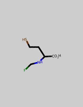 O=C(O)C(CCS)NCF